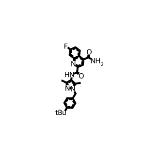 Cc1nn(Cc2ccc(C(C)(C)C)cc2)c(C)c1NC(=O)c1cc(C(N)=O)c2ccc(F)cc2n1